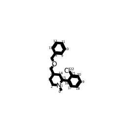 CN1CCC(COCc2ccccc2)CC1c1ccccc1Cl